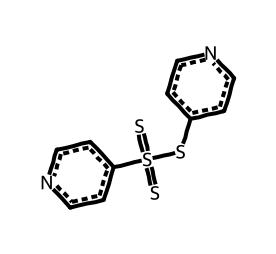 S=S(=S)(Sc1ccncc1)c1ccncc1